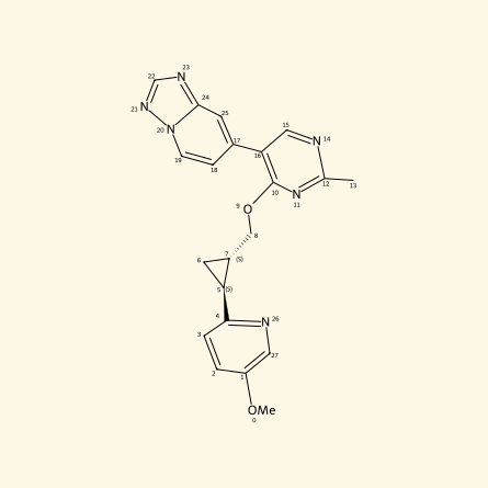 COc1ccc([C@H]2C[C@@H]2COc2nc(C)ncc2-c2ccn3ncnc3c2)nc1